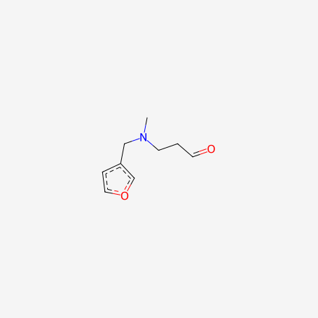 CN(CCC=O)Cc1ccoc1